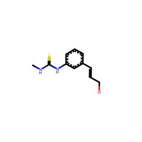 CNC(=S)Nc1cccc(C=CC[O])c1